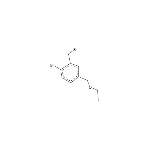 CCOCc1ccc(Br)c(CBr)c1